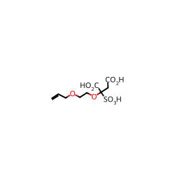 C=CCOCCOC(CC(=O)O)(C(=O)O)S(=O)(=O)O